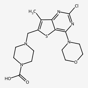 Cc1c(CN2CCN(C(=O)O)CC2)sc2c(N3CCOCC3)nc(Cl)nc12